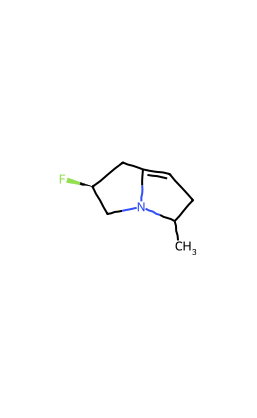 CC1CC=C2C[C@H](F)CN21